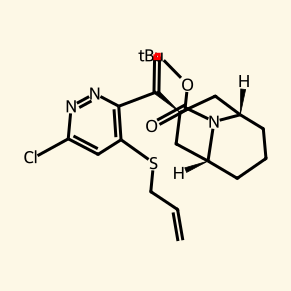 C=CCSc1cc(Cl)nnc1C(=C)[C@@H]1C[C@H]2CCC[C@@H](C1)N2C(=O)OC(C)(C)C